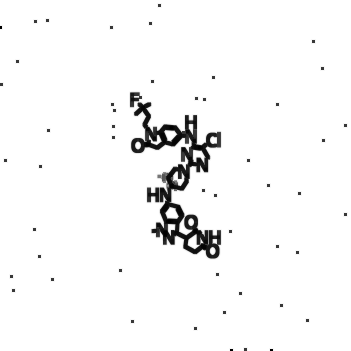 C[C@@H]1CN(c2ncc(Cl)c(Nc3ccc4c(c3)CC(=O)N4CCC(C)(C)F)n2)CC[C@H]1Nc1ccc2c(C3CCC(=O)NC3=O)nn(C)c2c1